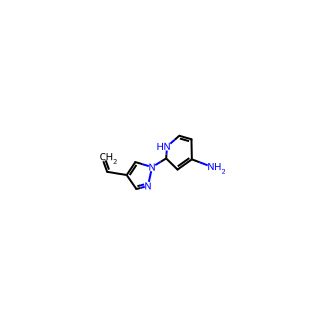 C=Cc1cnn(C2C=C(N)C=CN2)c1